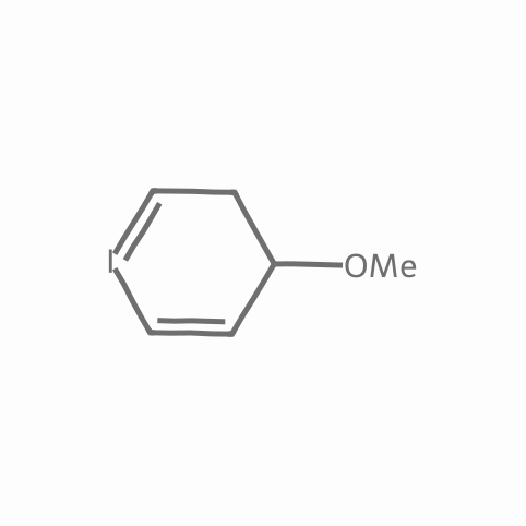 COC1C=CI=CC1